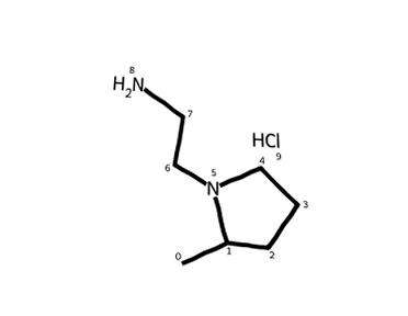 CC1CCCN1CCN.Cl